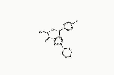 CON(C)C(=O)c1oc(C2CCCCC2)cc1Cc1ccc(F)cc1